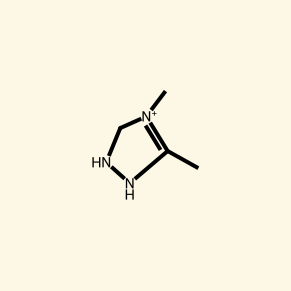 CC1=[N+](C)CNN1